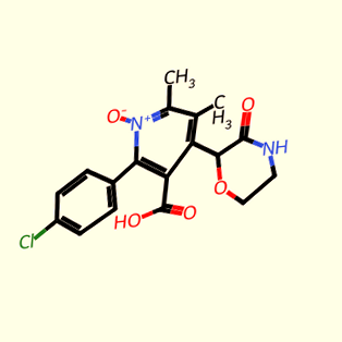 Cc1c(C2OCCNC2=O)c(C(=O)O)c(-c2ccc(Cl)cc2)[n+]([O-])c1C